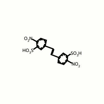 O=[N+]([O-])c1ccc(/C=C/c2ccc([N+](=O)[O-])c(S(=O)(=O)O)c2)cc1S(=O)(=O)O